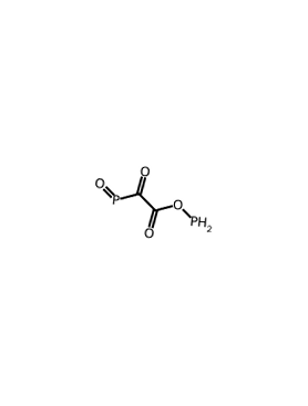 O=PC(=O)C(=O)OP